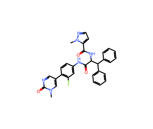 Cn1nccc1C(=O)NC(C(=O)Nc1ccc(-c2cnc(=O)n(C)c2)c(F)c1)C(c1ccccc1)c1ccccc1